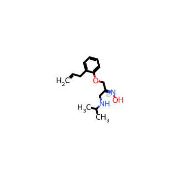 C=CCc1ccccc1OC/C(CNC(C)C)=N/O